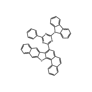 c1ccc(-c2nc(-c3cc4ccc5ccccc5c4c4sc5cc6ccccc6cc5c34)nc(-n3c4ccccc4c4ccccc43)n2)cc1